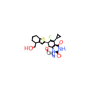 COC1c2[nH]c(=O)[nH]c(=O)c2C(C2CC2)=C(F)C1c1cc2c(s1)CCCC2CO